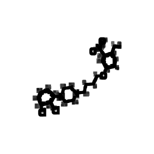 C=Cc1ccc(OCCCCN2CCN(c3cccc(Cl)c3Cl)CC2)cc1[N+](=O)[O-]